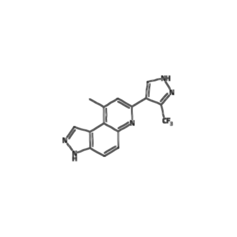 Cc1cc(-c2c[nH]nc2C(F)(F)F)nc2ccc3[nH]ncc3c12